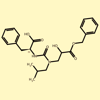 CC(C)CN(CC(O)C(=O)OCc1ccccc1)C(=O)N[C@@H](Cc1ccccc1)C(=O)O